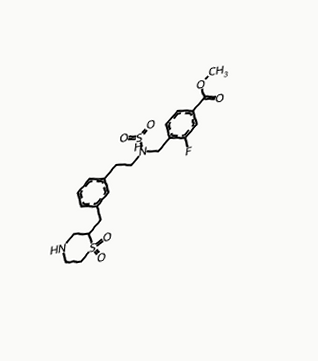 COC(=O)c1ccc(CN(CCc2cccc(CC3CNCCS3(=O)=O)c2)[SH](=O)=O)c(F)c1